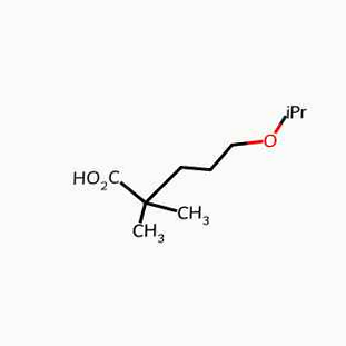 CC(C)OCCCC(C)(C)C(=O)O